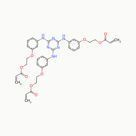 C=CC(=O)OCCOc1cccc(Nc2nc(Nc3cccc(OCCOC(=O)C=C)c3)nc(Nc3cccc(OCCOC(=O)C=C)c3)n2)c1